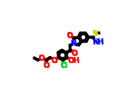 CCOC(=O)COc1ccc(C(=O)CN2Cc3cc(C(=N)SC)ccc3C2=O)c(O)c1Cl